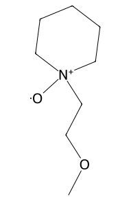 COCC[N+]1([O])CCCCC1